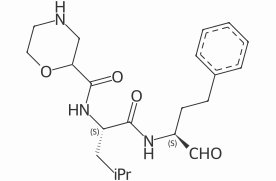 CC(C)C[C@H](NC(=O)C1CNCCO1)C(=O)N[C@H](C=O)CCc1ccccc1